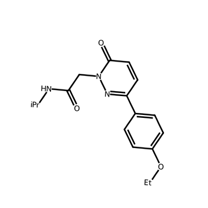 CCOc1ccc(-c2ccc(=O)n(CC(=O)NC(C)C)n2)cc1